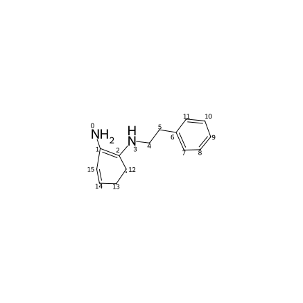 NC1=C(NCCc2ccccc2)[CH]CC=C1